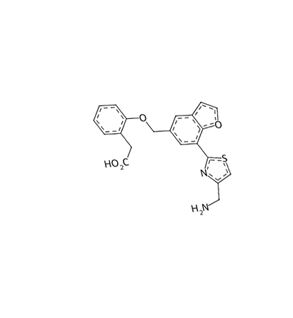 NCc1csc(-c2cc(COc3ccccc3CC(=O)O)cc3ccoc23)n1